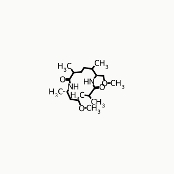 COCC[C@H](C)NC(=O)C(C)CCC(C)C(COC)NC(=O)C(C)C